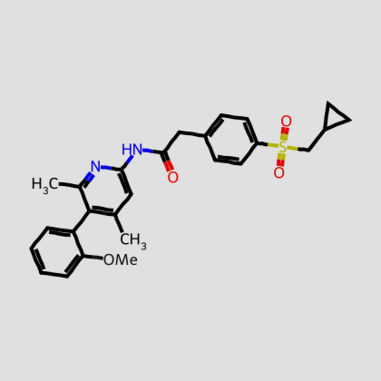 COc1ccccc1-c1c(C)cc(NC(=O)Cc2ccc(S(=O)(=O)CC3CC3)cc2)nc1C